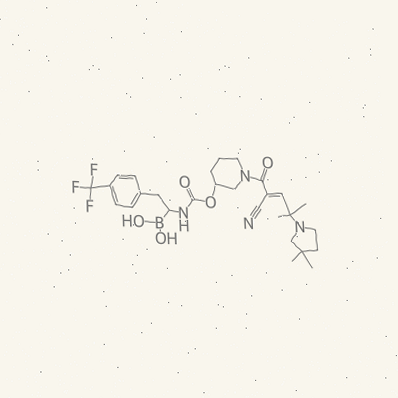 CC1(C)CCN(C(C)(C)C=C(C#N)C(=O)N2CCCC(OC(=O)NC(Cc3ccc(C(F)(F)F)cc3)B(O)O)C2)C1